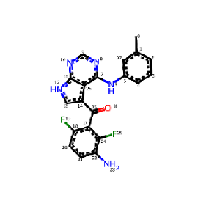 Cc1cccc(Nc2ncnc3[nH]cc(C(=O)c4c(F)ccc(N)c4F)c23)c1